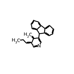 C=c1c(C2c3ccccc3-c3ccccc32)cnc/c1=C/CC